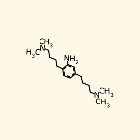 CN(C)CCCCc1ccc(CCCCN(C)C)c(N)c1